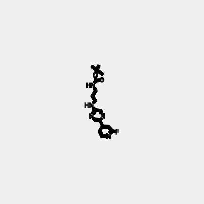 CC(C)(C)OC(=O)NCCCNc1cnc(-c2ccnc(F)c2)cn1